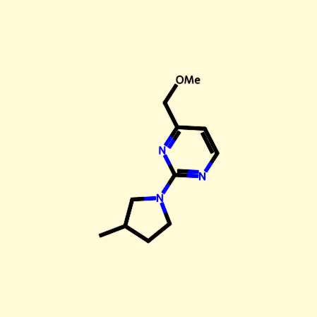 COCc1ccnc(N2CCC(C)C2)n1